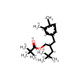 Cc1ccc(CC(COC(=O)C(C)(C)C)CC(C)(C)C)cc1C